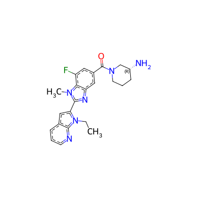 CCn1c(-c2nc3cc(C(=O)N4CCC[C@@H](N)C4)cc(F)c3n2C)cc2cccnc21